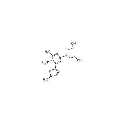 Cc1cc(N(CCO)CCO)cc(-c2ccn(C)c2)c1N